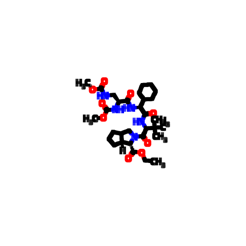 CCOC(=O)[C@@H]1[C@H]2CCCC2CN1C(=O)[C@@H](NC(=O)[C@@H](NC(=O)[C@H](CNC(=O)OC)NC(=O)OC)C1CCCCC1)C(C)(C)C